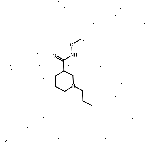 CCCN1CCCC(C(=O)NOC)C1